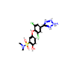 CN(C)S(=O)(=O)c1cc(Oc2c(Cl)cc(-c3nn[nH]n3)cc2Cl)ccc1O